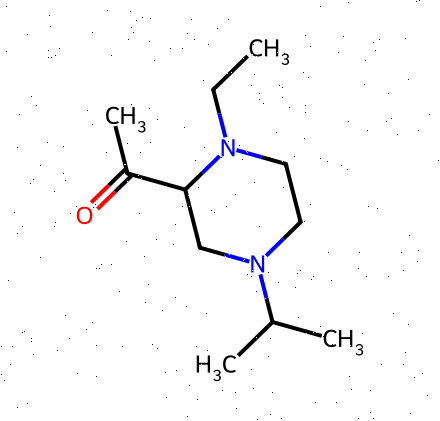 CCN1CCN(C(C)C)CC1C(C)=O